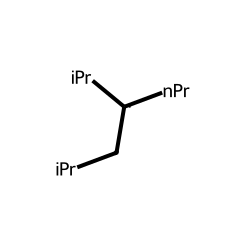 CCC[C](CC(C)C)C(C)C